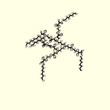 CCCCCCCCSC(C)C(=O)OCCOC(=O)CCN(CCCCN(CCC(=O)OCCOC(=O)C(C)SCCCCCCCC)CCC(=O)OCCOC(=O)C(C)SCCCCCCCC)CCCN(CCC(=O)OCCOC(=O)C(C)SCCCCCCCC)CCC(=O)OCCOC(=O)C(C)SCCCCCCCC